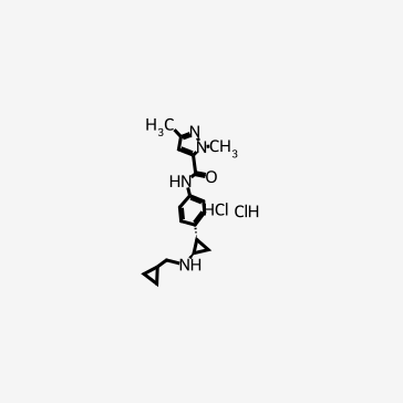 Cc1cc(C(=O)Nc2ccc([C@@H]3C[C@H]3NCC3CC3)cc2)n(C)n1.Cl.Cl